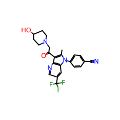 Cc1c(C(=O)CN2CCC(O)CC2)c2ncc(C(F)(F)F)cc2n1-c1ccc(C#N)cc1